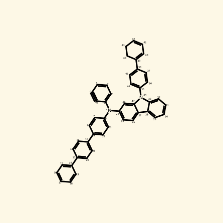 c1cccc(N(c2ccc(-c3ccc(-c4ccccc4)cc3)cc2)c2ccc3c4ccccc4n(-c4ccc(C5=CC=CCC5)cc4)c3c2)c#1